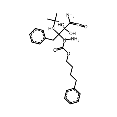 CC(C)(C)NC(Cc1ccccc1)(N(N)C(=O)OCCCCc1ccccc1)C(O)(O)C(N)=C=O